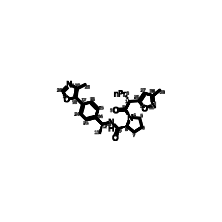 CCC[C@@H](C(=O)N1CCC[C@H]1C(=O)N[C@@H](C)c1ccc(-c2ocnc2C)cc1)c1cc(C)no1